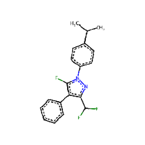 CC(C)c1ccc(-n2nc(C(F)F)c(-c3ccccc3)c2F)cc1